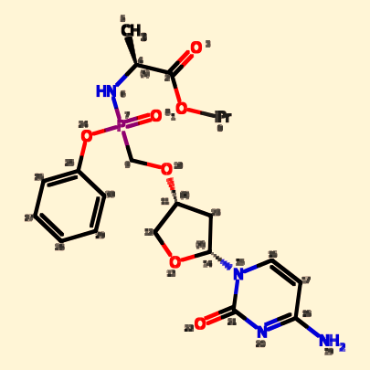 CC(C)OC(=O)[C@H](C)NP(=O)(CO[C@H]1CO[C@@H](n2ccc(N)nc2=O)C1)Oc1ccccc1